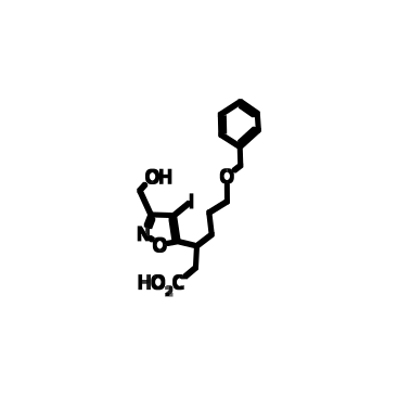 O=C(O)CC(CCCOCc1ccccc1)c1onc(CO)c1I